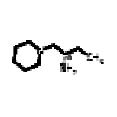 CC[C@H](N)CN1CCCCC1